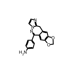 Nc1ccc(C2=Nn3ccnc3Cc3cc4c(cc32)OCO4)cc1